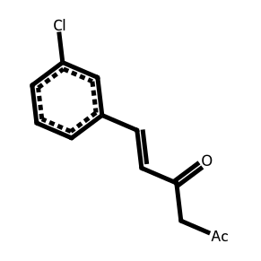 CC(=O)CC(=O)C=Cc1cccc(Cl)c1